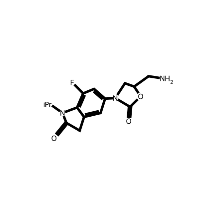 CC(C)N1C(=O)Cc2cc(N3CC(CN)OC3=O)cc(F)c21